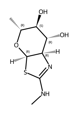 CNC1=N[C@@H]2[C@@H](O)[C@H](O)[C@@H](C)O[C@@H]2S1